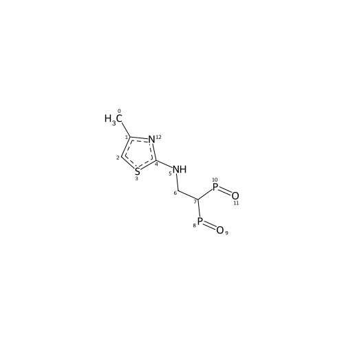 Cc1csc(NCC(P=O)P=O)n1